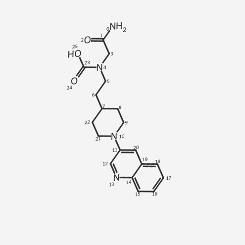 NC(=O)CN(CCC1CCN(c2cnc3ccccc3c2)CC1)C(=O)O